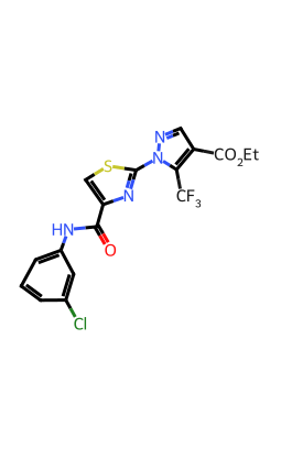 CCOC(=O)c1cnn(-c2nc(C(=O)Nc3cccc(Cl)c3)cs2)c1C(F)(F)F